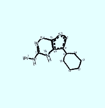 CC(C)NC1=NSc2scc(C3CCCCC3)c2N1